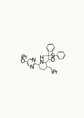 CC(C)CC1CCC(c2ncc(OC(C)C)cn2)NC1C1O[Si]2(c3ccccc3)c3ccccc3C12C